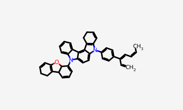 C=C/C(=C\C=C/C)c1ccc(-n2c3c(c4c5c6ccccc6n(C6=CC=CC7C8=C(C=CCC8)OC67)c5ccc42)CCC=C3)cc1